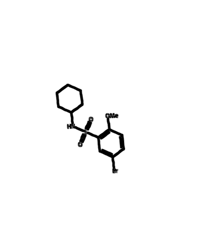 COc1ccc(Br)cc1S(=O)(=O)NC1CCCCC1